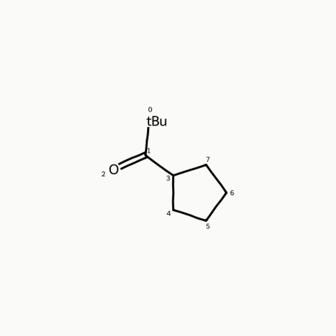 CC(C)(C)C(=O)C1CCCC1